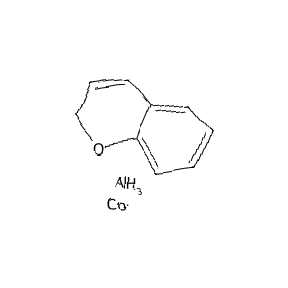 C1=Cc2ccccc2OC1.[AlH3].[Co]